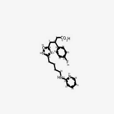 O=C(O)CC(Cc1nc(CCCCNc2ccccn2)no1)c1ccc(F)cc1